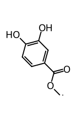 [CH2]OC(=O)c1ccc(O)c(O)c1